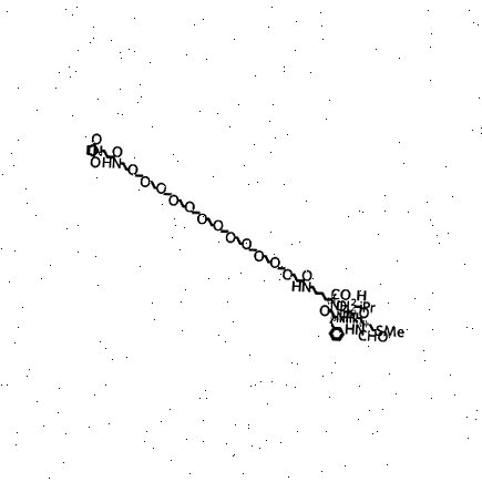 CSCC[C@H](NC=O)C(=O)N[C@@H](CC(C)C)C(=O)N[C@@H](Cc1ccccc1)C(=O)N[C@@H](CCCCNC(=O)CCOCCOCCOCCOCCOCCOCCOCCOCCOCCOCCOCCOCCNC(=O)CCN1C(=O)C=CC1=O)C(=O)O